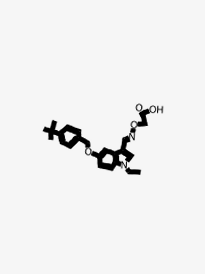 CCn1cc(/C=N/OCC(=O)O)c2cc(OCc3ccc(C(C)(C)C)cc3)ccc21